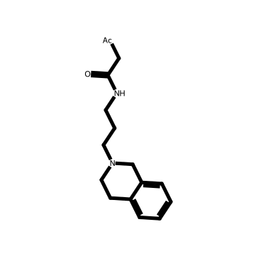 CC(=O)CC(=O)NCCCN1CCc2ccccc2C1